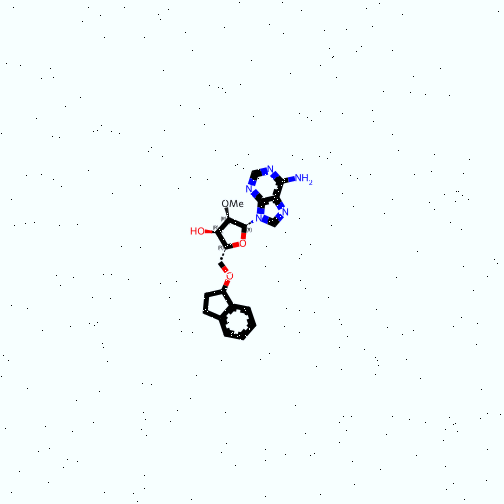 CO[C@@H]1[C@H](O)[C@@H](COC2CCc3ccccc32)O[C@H]1n1cnc2c(N)ncnc21